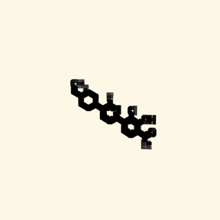 C=CC1CCC(c2ccc(-c3ccc(C(=O)CC)c(O)c3Cl)nc2F)CC1